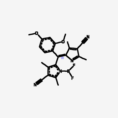 COc1ccc(/C(=C2/N=C(C)C(C#N)=C2C)c2c(C)c(C#N)c(C)n2B(F)F)c(OC)c1